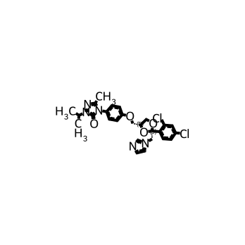 Cc1nn(C(C)C)c(=O)n1-c1ccc(OC[C@@H]2CO[C@@](Cn3ccnc3)(c3ccc(Cl)cc3Cl)O2)cc1